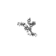 CC(C)(C)OC(=O)CCn1ccc(Nc2c(C#N)c(-c3ccc(NS(=O)(=O)C(F)F)c(OCCc4ccc(F)cc4)c3)nn2COCC[Si](C)(C)C)n1